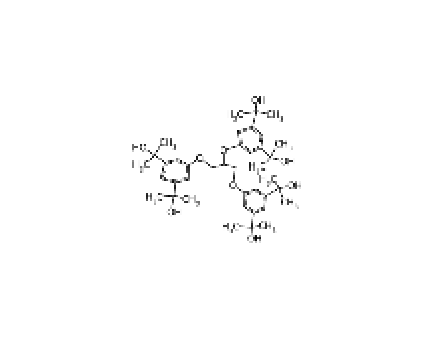 CC(C)(O)c1cc(OCC(COc2cc(C(C)(C)O)cc(C(C)(C)O)c2)Oc2cc(C(C)(C)O)cc(C(C)(C)O)c2)cc(C(C)(C)O)c1